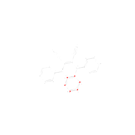 N#C/C(=C(\C#N)N(c1ccccc1)c1ccccc1)N(c1ccccc1)c1ccccc1